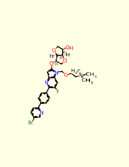 C[Si](C)(C)CCOCn1c(O[C@@H]2CO[C@H]3[C@@H]2OC[C@H]3O)cc2nc(-c3ccc(-c4ccc(Br)cn4)cc3)c(F)cc21